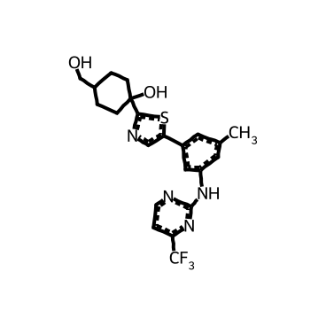 Cc1cc(Nc2nccc(C(F)(F)F)n2)cc(-c2cnc(C3(O)CCC(CO)CC3)s2)c1